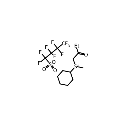 CCC(=O)C[S+](C)C1CCCCC1.O=S(=O)([O-])C(F)(F)C(F)(F)C(F)(F)C(F)(F)F